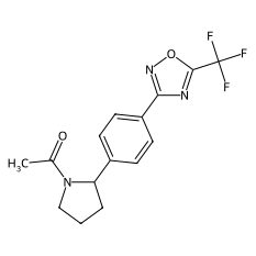 CC(=O)N1CCCC1c1ccc(-c2noc(C(F)(F)F)n2)cc1